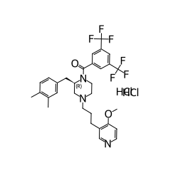 COc1ccncc1CCCN1CCN(C(=O)c2cc(C(F)(F)F)cc(C(F)(F)F)c2)[C@H](Cc2ccc(C)c(C)c2)C1.Cl.Cl